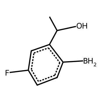 Bc1ccc(F)cc1C(C)O